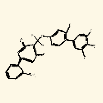 Bc1ccccc1-c1cc(F)c(C(F)(F)Oc2ccc(-c3cc(F)c(F)c(F)c3)c(F)c2)c(F)c1